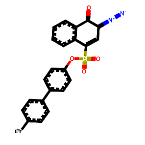 CC(C)c1ccc(-c2ccc(OS(=O)(=O)C3=CC(=[N+]=[N-])C(=O)c4ccccc43)cc2)cc1